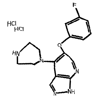 Cl.Cl.Fc1cccc(Oc2cnc3[nH]ncc3c2N2CCNCC2)c1